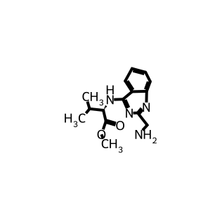 COC(=O)[C@@H](Nc1nc(CN)nc2ccccc12)C(C)C